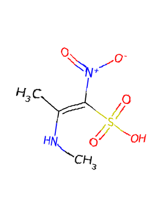 CNC(C)=C([N+](=O)[O-])S(=O)(=O)O